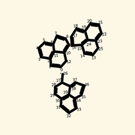 C1=Cc2cccc3cccc(c23)C1.C1=Cc2cccc3cccc(c23)C1.[C]C1C=Cc2cccc3cccc1c23